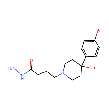 NNC(=O)CCCN1CCC(O)(c2ccc(Br)cc2)CC1